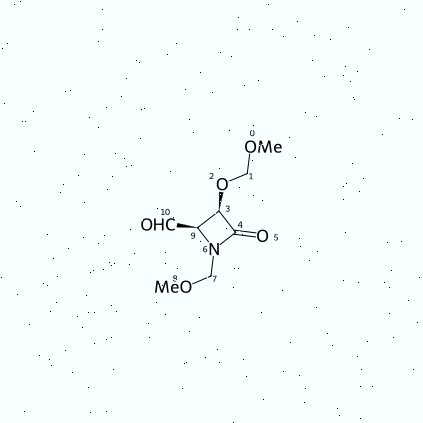 COCO[C@H]1C(=O)N(COC)[C@H]1C=O